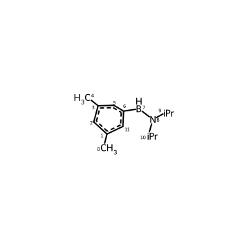 Cc1cc(C)cc(BN(C(C)C)C(C)C)c1